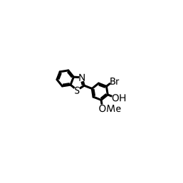 COc1cc(-c2nc3ccccc3s2)cc(Br)c1O